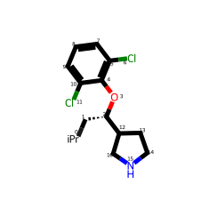 CC(C)C[C@H](Oc1c(Cl)cccc1Cl)C1CCNC1